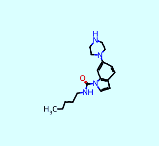 CCCCCNC(=O)n1ccc2ccc(N3CCNCC3)cc21